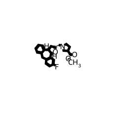 COC(=O)C1CCN(C[C@H]2C[C@@H]3c4ccccc4Cc4ccc(F)cc4[C@@H]3O2)C1